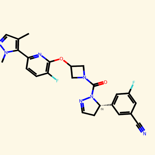 Cc1cnn(C)c1-c1ccc(F)c(OC2CN(C(=O)N3N=CC[C@H]3c3cc(F)cc(C#N)c3)C2)n1